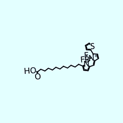 O=C(O)CCCCCCCCCCCc1ccc2n1[B-](F)(F)[N+]1=C(c3cccs3)C=CC1=C2